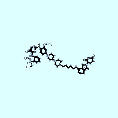 COc1cc(N2CCC(N3CCN(CCCCCCc4cccc5c4CN(C4CCC(=O)NC4=O)C5=O)CC3)CC2)ccc1Nc1ncc(Cl)c(Nc2ccccc2P(=O)(OC)OC)n1